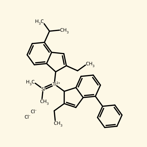 CCC1=Cc2c(-c3ccccc3)cccc2[CH]1[Ti+2]([CH]1C(CC)=Cc2c(C(C)C)cccc21)=[Si](C)C.[Cl-].[Cl-]